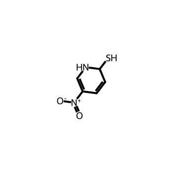 O=[N+]([O-])C1=CN[C](S)C=C1